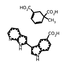 CC1(C(=O)O)C=CC=C(C(=O)O)C1.O=C(O)c1ccc2[nH]cc(-c3cc4cccnc4[nH]3)c2c1